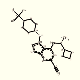 C[C@@H](Nc1nc(C#N)nc2ncn(C[C@H]3CC[C@H](C(F)(F)F)CC3)c12)C1CCC1